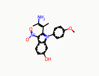 COc1ccc(-n2c(C(C)=C(C)N)c([N+](=O)[O-])c3ccc(O)cc32)cc1